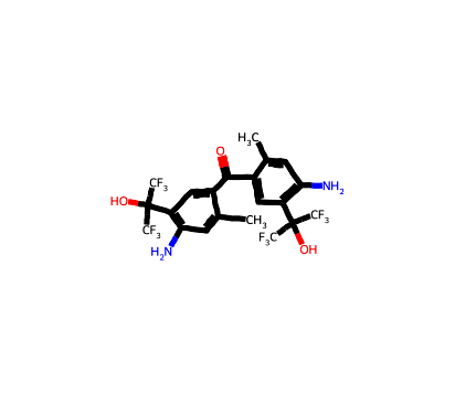 Cc1cc(N)c(C(O)(C(F)(F)F)C(F)(F)F)cc1C(=O)c1cc(C(O)(C(F)(F)F)C(F)(F)F)c(N)cc1C